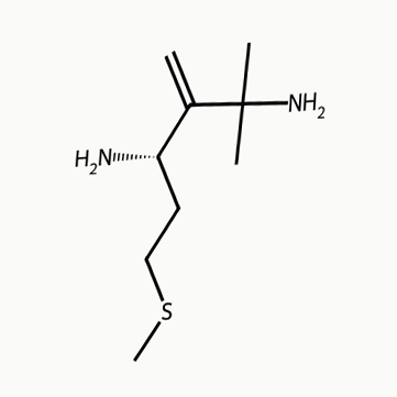 C=C([C@@H](N)CCSC)C(C)(C)N